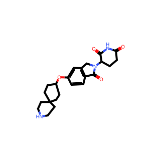 O=C1CCC(N2Cc3cc(OC4CCC5(CCNCC5)CC4)ccc3C2=O)C(=O)N1